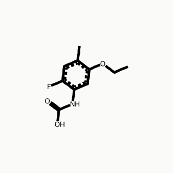 CCOc1cc(NC(=O)O)c(F)cc1C